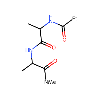 CCC(=O)NC(C)C(=O)NC(C)C(=O)NC